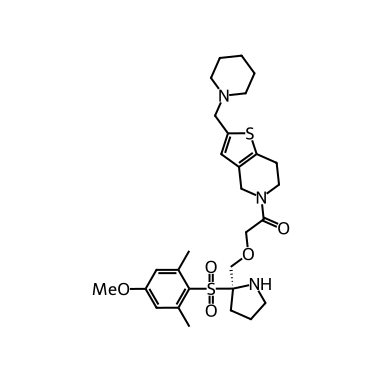 COc1cc(C)c(S(=O)(=O)[C@]2(COCC(=O)N3CCc4sc(CN5CCCCC5)cc4C3)CCCN2)c(C)c1